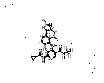 [2H]C([2H])([2H])NC(=O)c1cnc(NC(=O)C2CC2)c(F)c1Nc1cccc2c1N(C)Cc1nn(C)nc1-2